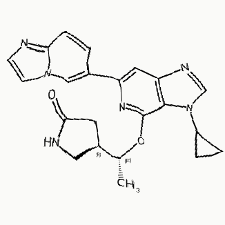 C[C@@H](Oc1nc(-c2ccc3nccn3c2)cc2ncn(C3CC3)c12)[C@H]1CNC(=O)C1